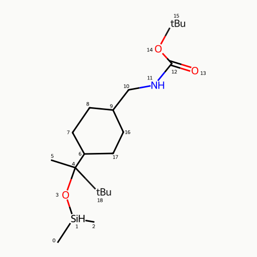 C[SiH](C)OC(C)(C1CCC(CNC(=O)OC(C)(C)C)CC1)C(C)(C)C